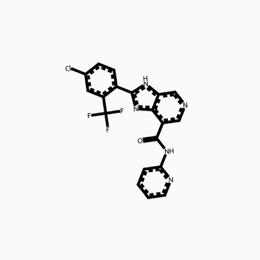 O=C(Nc1ccccn1)c1cncc2[nH]c(-c3ccc(Cl)cc3C(F)(F)F)nc12